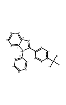 CC(C)(C)c1ccc(-c2cc3ccccc3n2-c2ccccc2)cc1